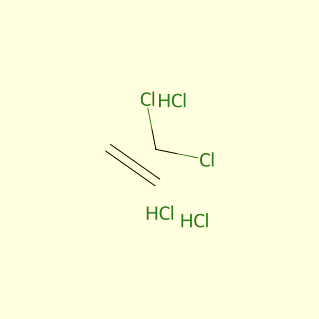 C=C.Cl.Cl.Cl.ClCCl